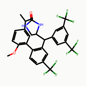 COc1ccc(C(C)C)cc1-c1ccc(C(F)(F)F)cc1C(c1cc(C(F)(F)F)cc(C(F)(F)F)c1)C1CNC(=O)N1